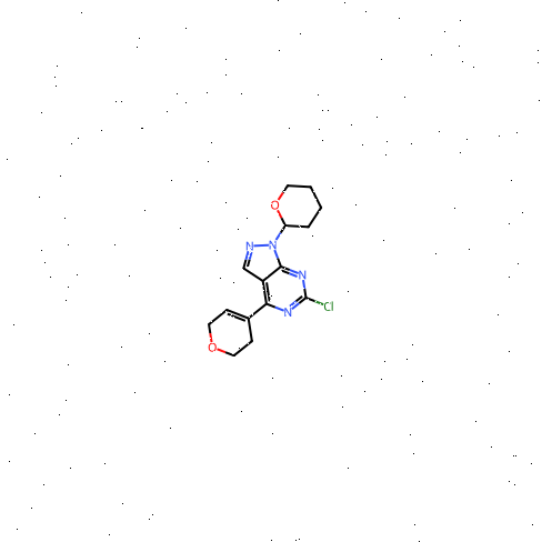 Clc1nc(C2=CCOCC2)c2cnn(C3CCCCO3)c2n1